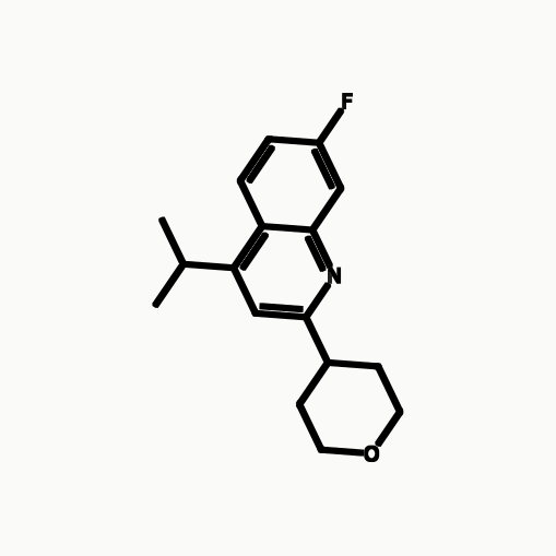 CC(C)c1cc(C2CCOCC2)nc2cc(F)ccc12